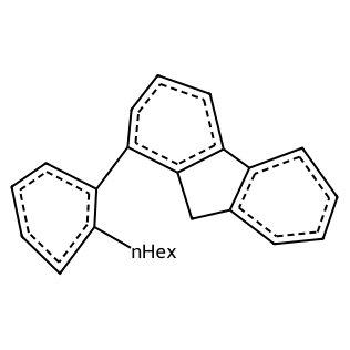 CCCCCCc1ccccc1-c1cccc2c1Cc1ccccc1-2